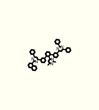 Cc1cc(-c2c(-c3cccc(-c4cc(-c5ccccc5)nc(-c5ccccc5)n4)c3)cccc2-c2cccc(-c3cc(-c4ccccc4)nc(-c4cccc5ccccc45)n3)c2)nc(C)n1